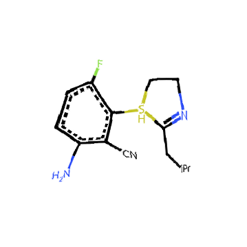 CC(C)CC1=NCC[SH]1c1c(F)ccc(N)c1C#N